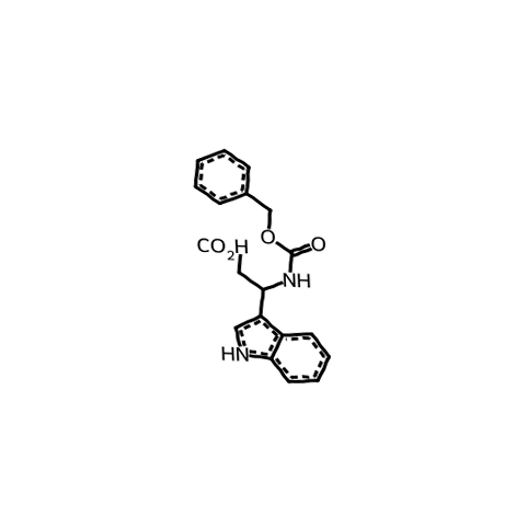 O=C(O)CC(NC(=O)OCc1ccccc1)c1c[nH]c2ccccc12